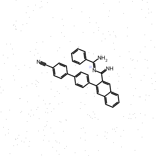 N#Cc1ccc(-c2ccc(-c3cc4ccccc4cc3C(=N)/N=C(\N)c3ccccc3)cc2)cc1